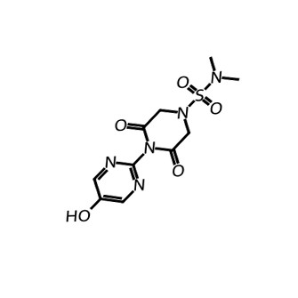 CN(C)S(=O)(=O)N1CC(=O)N(c2ncc(O)cn2)C(=O)C1